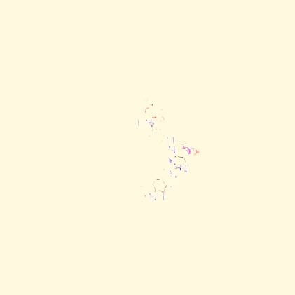 CC(=O)Nc1ccc(CNc2ncc([N+](=O)O)c(NC[C@H]3CC[C@H](NC(=O)OC(C)(C)C)CC3)n2)cc1